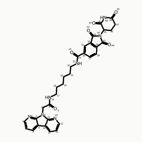 O=C(Cn1c2ncccc2c2cccnc21)NCCCCCCNC(=O)c1ccc2c(c1)C(=O)N(C1CCC(=O)NC1=O)C2=O